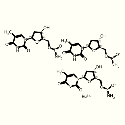 Cc1cn([C@H]2C[C@H](O)[C@@H](COP(N)[O-])O2)c(=O)[nH]c1=O.Cc1cn([C@H]2C[C@H](O)[C@@H](COP(N)[O-])O2)c(=O)[nH]c1=O.Cc1cn([C@H]2C[C@H](O)[C@@H](COP(N)[O-])O2)c(=O)[nH]c1=O.[Ru+3]